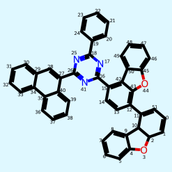 C1=CC2Oc3ccccc3C2C(c2ccc(-c3nc(-c4ccccc4)nc(-c4cc5ccccc5c5ccccc45)n3)c3c2oc2ccccc23)=C1